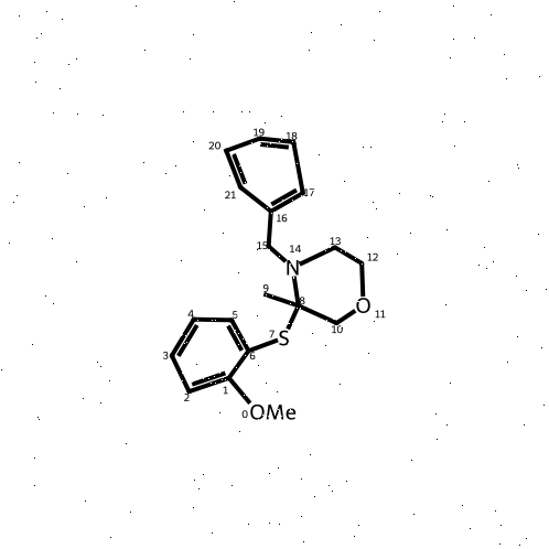 COc1ccccc1SC1(C)COCCN1Cc1ccccc1